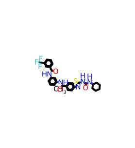 Cc1ccc(NC(=O)c2cccc(C(F)(F)F)c2)cc1NC(=O)c1ccc2nc(NC(=O)NC3CCCCC3)sc2c1